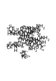 CC[C@H](C)[C@H](NC(=O)[C@@H](N)CCCN=C(N)N)C(=O)N[C@@H](CC(N)=O)C(=O)N[C@@H](CC(N)=O)C(=O)N[C@H](C(=O)N1CC(C2=CN(c3cc[cH-]c3)NN2)C[C@H]1C(=O)N[C@@H](Cc1c[nH]c2ccccc12)C(=O)N[C@@H](CO)C(N)=O)[C@@H](C)CC.[Fe+2].c1cc[cH-]c1